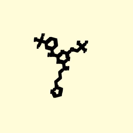 FC(F)(F)COc1nc(NCCCn2cccn2)nc(Nc2cccc(C(F)(F)F)c2)n1